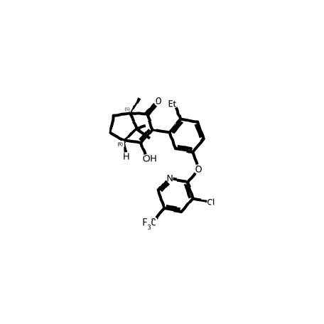 CCc1ccc(Oc2ncc(C(F)(F)F)cc2Cl)cc1C1=C(O)[C@@H]2CC[C@](C)(C1=O)C2(C)C